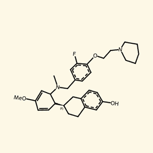 COC1=CC(N(C)Cc2ccc(OCCN3CCCCC3)c(F)c2)C([C@@H]2CCc3cc(O)ccc3C2)C=C1